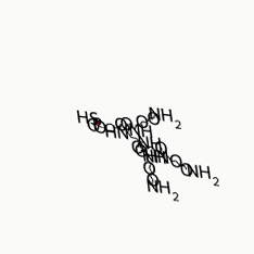 CP(=O)(S)O[C@H]1CC[C@@H](C(=O)NC(CCC(=O)NC(CCC(=O)NCCOCCON)C(=O)NCCOCCON)C(=O)NCCOCCON)CC1